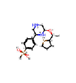 C[C@H](OC1CNCC(c2ccc(S(C)(=O)=O)cc2)N1)C1CCCS1